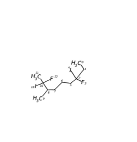 CCC(F)(I)CCCC(C)C(C)(F)I